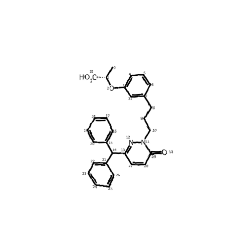 C[C@H](Oc1cccc(CCCn2nc(C(c3ccccc3)c3ccccc3)ccc2=O)c1)C(=O)O